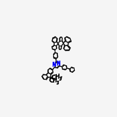 CC1(C)c2ccccc2-c2ccc(-c3cc(-c4ccc(-c5ccccc5)cc4)nc(-c4ccc(-c5ccc6c(c5)C5(c7ccccc7-6)c6ccccc6C6(c7ccccc7-c7ccccc76)c6ccccc65)cc4)n3)cc21